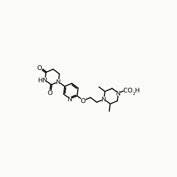 CC1CN(C(=O)O)CC(C)N1CCOc1ccc(N2CCC(=O)NC2=O)cn1